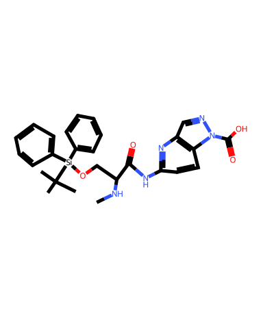 CNC(CO[Si](c1ccccc1)(c1ccccc1)C(C)(C)C)C(=O)Nc1ccc2c(cnn2C(=O)O)n1